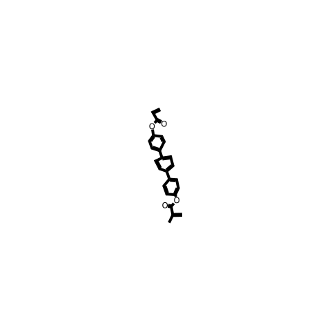 C=CC(=O)Oc1ccc(-c2ccc(-c3ccc(OC(=O)C(=C)C)cc3)cc2)cc1